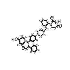 O=C1CCC(c2ccccc2CN2CCN(c3ccc([C@@H]4c5ccc(O)cc5OC[C@@H]4c4ccccc4)cc3)CC2)C(=O)N1